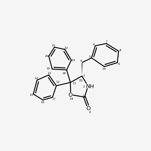 O=C1N[C@@H](Cc2ccccc2)C(c2ccccc2)(c2ccccc2)O1